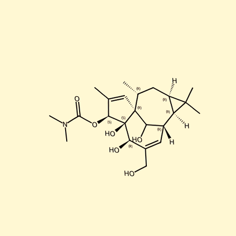 CC1=C[C@]23C(O)[C@@H](C=C(CO)[C@@H](O)[C@]2(O)[C@H]1OC(=O)N(C)C)[C@H]1[C@@H](C[C@H]3C)C1(C)C